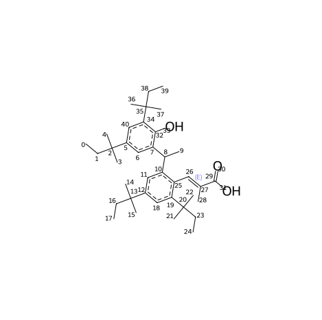 CCC(C)(C)c1cc(C(C)c2cc(C(C)(C)CC)cc(C(C)(C)CC)c2/C=C(\C)C(=O)O)c(O)c(C(C)(C)CC)c1